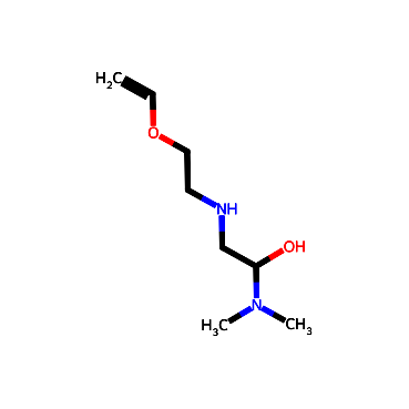 C=COCCNCC(O)N(C)C